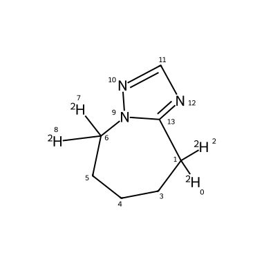 [2H]C1([2H])CCCC([2H])([2H])n2ncnc21